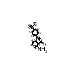 Nc1nccc2c1c(I)nn2-c1ccc([N+](=O)[O-])cc1